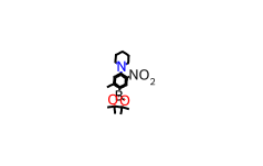 Cc1cc(N2CCCCC2)c([N+](=O)[O-])cc1B1OC(C)(C)C(C)(C)O1